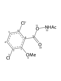 COc1c(Cl)ccc(Cl)c1C(=O)ONC(C)=O